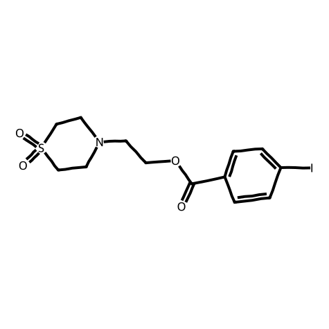 O=C(OCCN1CCS(=O)(=O)CC1)c1ccc(I)cc1